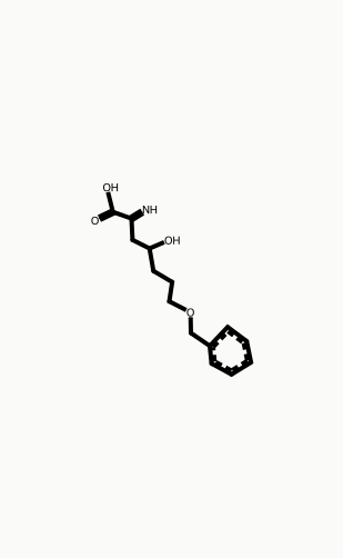 N=C(CC(O)CCCOCc1ccccc1)C(=O)O